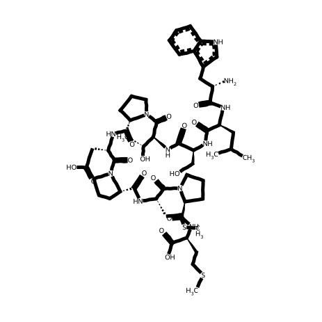 CSCC[C@H](NC(=O)[C@@H]1CCCN1C(=O)[C@H](CCSC)NC(=O)[C@@H]1CCCN1C(=O)[C@H](CC(=O)O)NC(=O)[C@@H]1CCCN1C(=O)[C@@H](NC(=O)[C@H](CO)NC(=O)[C@H](CC(C)C)NC(=O)[C@@H](N)Cc1c[nH]c2ccccc12)[C@@H](C)O)C(=O)O